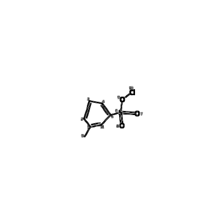 Cc1cccc(S(=O)(=O)OCl)c1